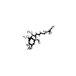 Cc1c2c(cc3nnnn13)N(CCl)C(CCCCNC(=O)C(C)C)N2C